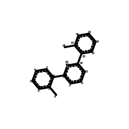 Cc1ccccc1-c1cccc(-c2ccccc2C)n1